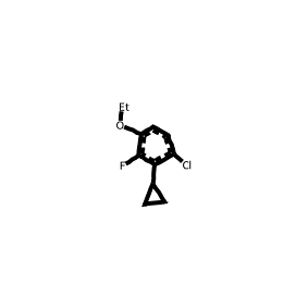 CCOc1ccc(Cl)c(C2[CH]C2)c1F